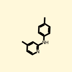 Cc1ccc(Nc2cc(C)ccn2)cc1